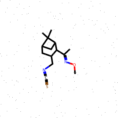 CON=C(C)C1C(CN=C=S)CC2CC1C2(C)C